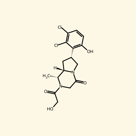 C[C@@H]1[C@@H]2C[C@H](c3c(O)ccc(Cl)c3Cl)CN2C(=O)CN1C(=O)CO